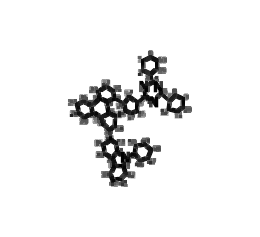 c1ccc(-c2nc(-c3ccccc3)nc(-c3cccc(-c4cccc5c6ccccc6c6cc(-c7ccc8c9ccccc9n(-c9ccccc9)c8c7)ccc6c45)c3)n2)cc1